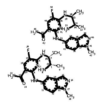 C[C@H](N)[C@@H](C)Nc1nc(Nc2ccc3c(cnn3C)c2)c(C(N)=O)cc1F.C[C@H](Nc1nc(Nc2ccc3c(cnn3C)c2)c(C(N)=O)cc1F)[C@@H](C)N